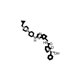 O=C(NCc1ccc2ncc(N[C@H]3CC[C@H](N4CCN(CC5CC5)CC4)CC3)nc2c1)c1cccn([C@H](CO)c2ccccc2)c1=O